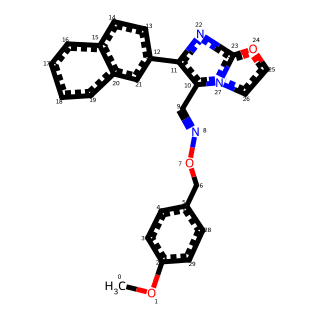 COc1ccc(CO/N=C/c2c(-c3ccc4ccccc4c3)nc3occn23)cc1